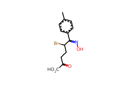 Cc1ccc(C(=NO)C(Br)CCC(=O)C(=O)O)cc1